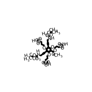 COC(=O)c1c(OCCCS(=O)(=O)O)c(C#CCNC(=O)OC(C)(C)C)c(OCCCS(=O)(=O)O)c(C#CCNC(=O)OC(C)(C)C)c1OCCCS(=O)(=O)O